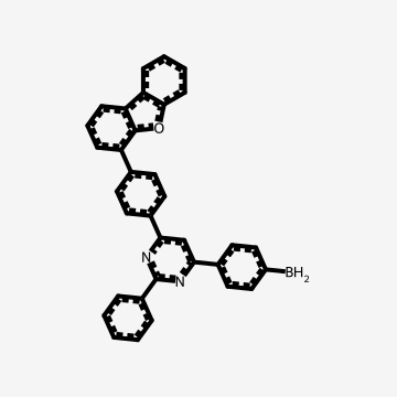 Bc1ccc(-c2cc(-c3ccc(-c4cccc5c4oc4ccccc45)cc3)nc(-c3ccccc3)n2)cc1